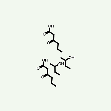 CCC(C)O.CCC(C)O.CCCC(=O)CC(=O)O.CCCC(=O)CC(=O)O